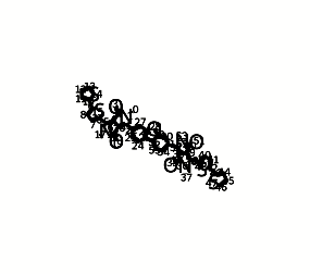 CN1C(=O)C2=C(c3ccc(-c4cccs4)s3)N(C)C(=O)C2=C1c1ccc2c(c1)oc1cc(C3=C4C(=O)N(C)C(c5ccc(-c6cccs6)s5)=C4C(=O)N3C)ccc12